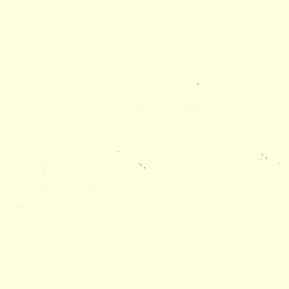 NCCC[C@H](NC(=O)c1ccc(O)cc1)C(=O)NO